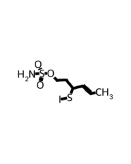 CC=CC(CCOS(N)(=O)=O)SI